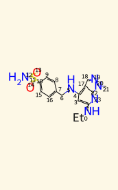 CCNc1cc(NCc2ccc(S(N)(=O)=O)cc2)c2cnn(C)c2n1